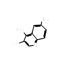 Cc1cnc2ccc(C(C)(C)C)cc2c1O